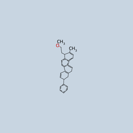 COCCC1C(C)=CC=c2c1ccc1c2=CCC2=C1C=CC(c1ccccc1)C2